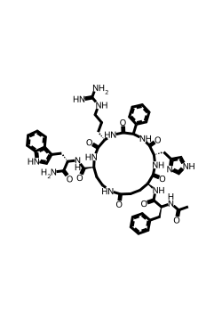 CC(=O)N[C@@H](Cc1ccccc1)C(=O)N[C@H]1CCC(=O)NCC[C@@H](C(=O)N[C@@H](Cc2c[nH]c3ccccc23)C(N)=O)NC(=O)[C@H](CCCNC(=N)N)NC(=O)C(c2ccccc2)NC(=O)[C@H](Cc2c[nH]cn2)NC1=O